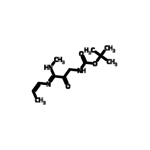 C/C=C\N=C(/NC)C(=O)CNC(=O)OC(C)(C)C